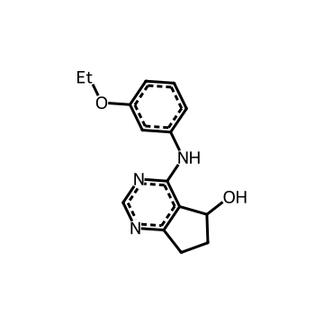 CCOc1cccc(Nc2ncnc3c2C(O)CC3)c1